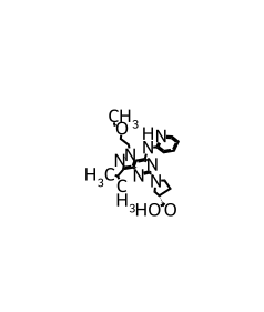 CCOCCn1nc(C(C)C)c2nc(N3CC[C@H](C(=O)O)C3)nc(Nc3ccccn3)c21